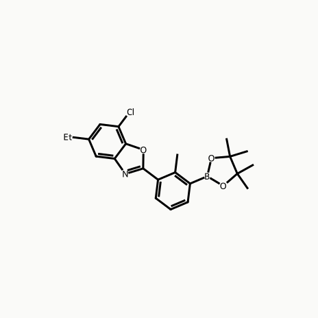 CCc1cc(Cl)c2oc(-c3cccc(B4OC(C)(C)C(C)(C)O4)c3C)nc2c1